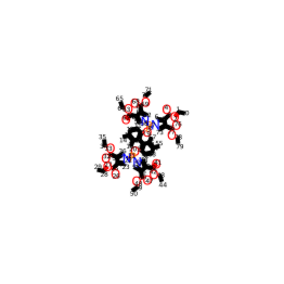 CCOC(=O)c1cn(P(Oc2ccc(C)c(C)c2-c2c(OP(n3cc(C(=O)OCC)c(C(=O)OCC)c3)n3cc(C(=O)OCC)c(C(=O)OCC)c3)ccc(C)c2C)n2cc(C(=O)OCC)c(C(=O)OCC)c2)cc1C(=O)OCC